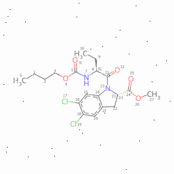 CCCCOC(=O)N[C@@H](CC)C(=O)N1c2cc(Cl)c(Cl)cc2C[C@H]1C(=O)OC